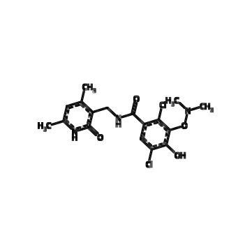 Cc1cc(C)c(CNC(=O)c2cc(Cl)c(O)c(ON(C)C)c2Cl)c(=O)[nH]1